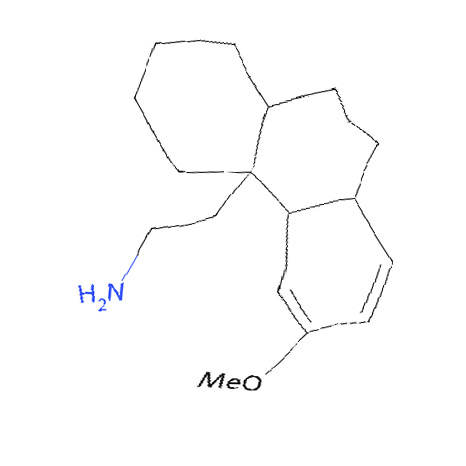 COC1=CC2C(C=C1)CCC1CCCCC12CCN